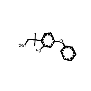 CC(C)(C)CC(C)(C)c1ccc(Oc2ccccc2)cc1O